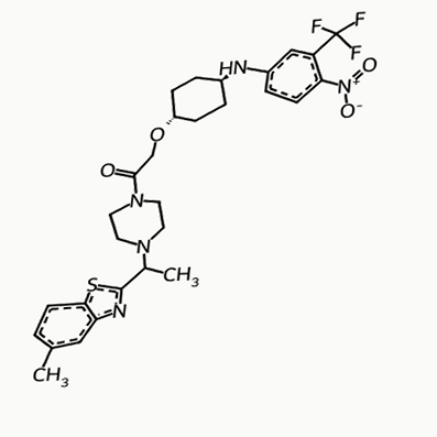 Cc1ccc2sc(C(C)N3CCN(C(=O)CO[C@H]4CC[C@H](Nc5ccc([N+](=O)[O-])c(C(F)(F)F)c5)CC4)CC3)nc2c1